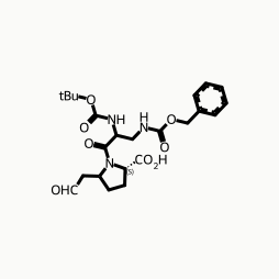 CC(C)(C)OC(=O)NC(CNC(=O)OCc1ccccc1)C(=O)N1C(CC=O)CC[C@H]1C(=O)O